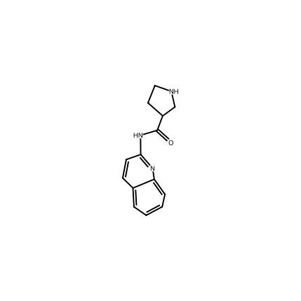 O=C(Nc1ccc2ccccc2n1)C1CCNC1